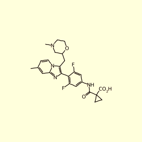 Cc1ccn2c(CC3CN(C)CCO3)c(-c3c(F)cc(NC(=O)C4(C(=O)O)CC4)cc3F)nc2c1